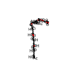 CC(=O)N(O)CCCCCNC(=O)CCC(=O)N(O)CCCCCNC(=O)CCC(=O)N(O)CCCCCNC(=O)COc1cccc(C(=O)NCC(=O)NC(Cc2ccc(OCC(=O)NCCN3C(=O)C=CC3=O)cc2)C(=O)OC(C)(C)C)c1